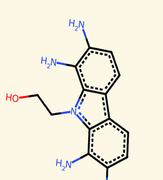 Nc1ccc2c3ccc(N)c(N)c3n(CCO)c2c1N